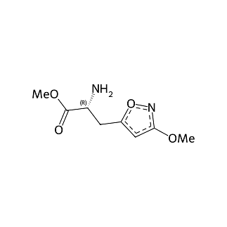 COC(=O)[C@H](N)Cc1cc(OC)no1